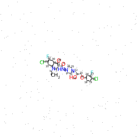 C=Cn1cc(C(=O)NN2CCN(CC(O)COc3ccc(Cl)c(F)c3)CC2)c(=O)c2cc(F)c(Cl)cc21